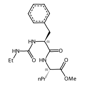 CCC[C@H](NC(=O)[C@H](Cc1ccccc1)NC(=O)NCC)C(=O)OC